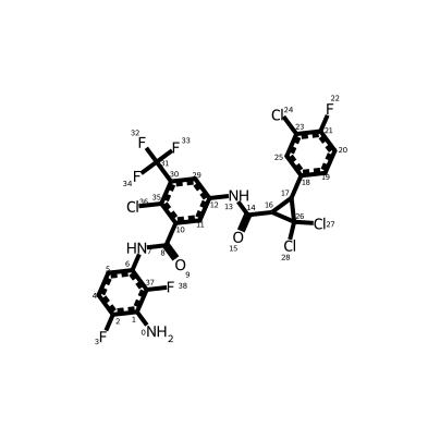 Nc1c(F)ccc(NC(=O)c2cc(NC(=O)C3C(c4ccc(F)c(Cl)c4)C3(Cl)Cl)cc(C(F)(F)F)c2Cl)c1F